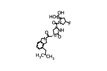 CC(C)Cc1cccc2c1CN(C(=O)C[C@@H]1C[C@@H](C(=O)N3CC(F)C[C@H]3B(O)O)NC1=O)C2